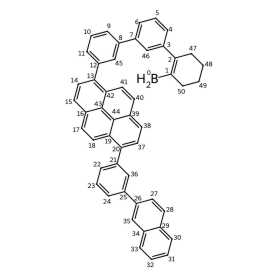 BC1=C(c2cccc(-c3cccc(-c4ccc5ccc6c(-c7cccc(-c8ccc9ccccc9c8)c7)ccc7ccc4c5c76)c3)c2)CCCC1